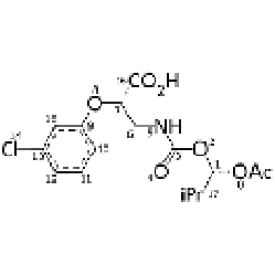 CC(=O)O[C@@H](OC(=O)NC[C@H](Oc1cccc(Cl)c1)C(=O)O)C(C)C